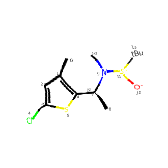 Cc1cc(Cl)sc1[C@H](C)N(C)[S+]([O-])C(C)(C)C